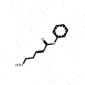 CCCCCCCCCC/C=C/C(=O)Oc1ccccc1